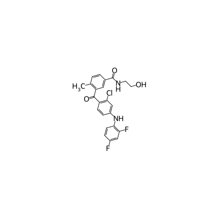 Cc1ccc(C(=O)NCCO)cc1C(=O)c1ccc(Nc2ccc(F)cc2F)cc1Cl